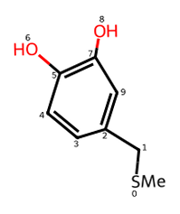 CSCc1ccc(O)c(O)c1